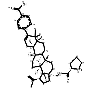 C=C(C)[C@@H]1CC[C@]2(CNC(=O)[C@H]3CCCN3)CC[C@]3(C)[C@H](CC[C@@H]4[C@@]5(C)CC=C(c6ccc(C(=O)O)cc6)C(C)(C)[C@@H]5CC[C@]43C)[C@@H]12